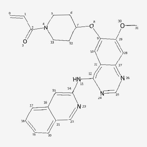 C=CC(=O)N1CCC(Oc2cc3c(Nc4cc5ccccc5cn4)ncnc3cc2OC)CC1